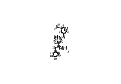 CC(C)c1cncc(CNC[C@@H](O)[C@@H](N)Cc2ccccc2)c1